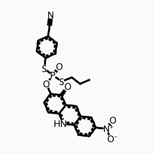 CCCSP(=O)(Oc1ccc2[nH]c3ccc([N+](=O)[O-])cc3cc-2c1=O)Sc1ccc(C#N)cc1